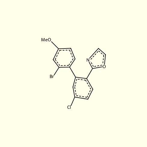 COc1ccc(-c2cc(Cl)ccc2-c2ncco2)c(Br)c1